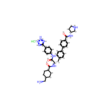 Cl.NCC1CCC(C(=O)N[C@@H](Cc2ccc(-c3ccc(C(=O)N[C@@H]4CCNC4)cc3)cc2)C(=O)Nc2ccc(-c3nn[nH]n3)cc2)CC1